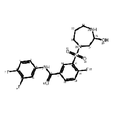 O=C(Nc1ccc(F)c(F)c1)c1ccc(F)c(S(=O)(=O)N2CCCNC(O)C2)c1